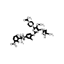 COc1c(Nc2cc(C)[nH]n2)nc(Sc2ccc(S(=O)(=O)C(C)(C)c3cccc([N+](=O)[O-])c3F)cc2F)nc1N1CCN(C(C)=O)CC1